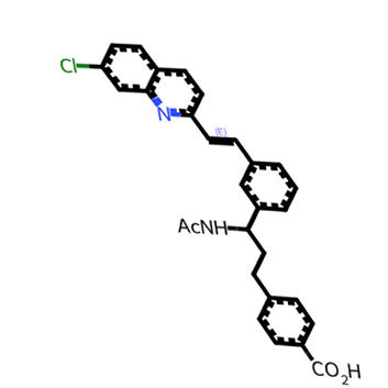 CC(=O)NC(CCc1ccc(C(=O)O)cc1)c1cccc(/C=C/c2ccc3ccc(Cl)cc3n2)c1